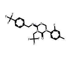 Cc1ccc(N2CS/C(=N/Cc3ccc(C(F)(F)F)cc3)N(CC(F)(F)F)C2=O)c(F)c1